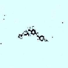 CC(=O)N1CCC(COc2cc(F)c3c(=O)[nH]c(CSC4CCO4)nc3c2)CC1